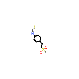 CS(=O)(=O)CCC1C=CC(N=C=S)=CC1